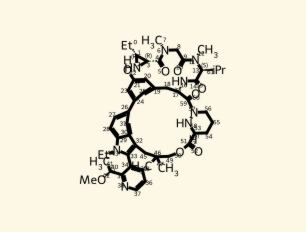 CC[C@H]1N[C@H]1C(=O)N(C)CC(=O)N(C)[C@H](C(=O)N[C@H]1Cc2cc(O)cc(c2)-c2ccc3c(c2)c(c(-c2cccnc2[C@H](C)OC)n3CC)CC(C)(C)COC(=O)[C@@H]2CCCN(N2)C1=O)C(C)C